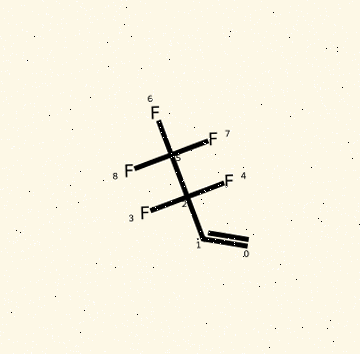 C=[C]C(F)(F)C(F)(F)F